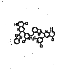 Cc1cc(-c2cc3c(=O)cc[nH]c3nc2-c2cc3cccc(Cc4cc(-c5cc6c(=O)cc[nH]c6nc5-c5nc6ccccc6o5)cc(Cl)n4)c3o2)cc(Cl)n1